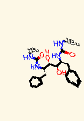 CC(C)(C)NC(=O)N[C@@H](Cc1ccccc1)[C@H](O)[C@H](O)[C@H](Cc1ccccc1)NC(=O)NC(C)(C)C